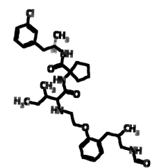 CCC(C)C(NCCOc1ccccc1CC(C)CNC=O)C(=O)NC1(C(=O)N[C@@H](C)Cc2cccc(Cl)c2)CCCC1